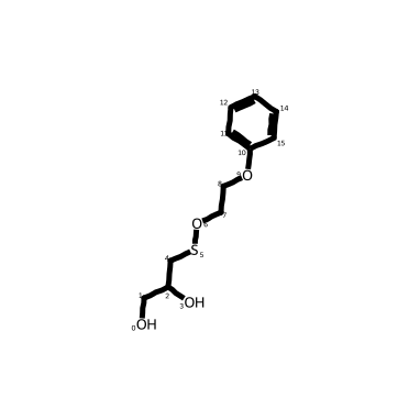 OCC(O)CSOCCOc1ccccc1